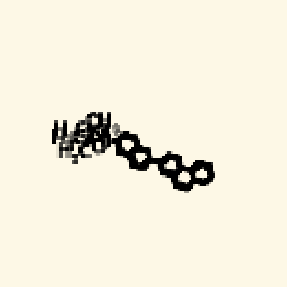 CC1(C)OB(c2ccc3cc(-c4ccc5c(ccc6ccccc65)c4)ccc3c2)OC1(C)C